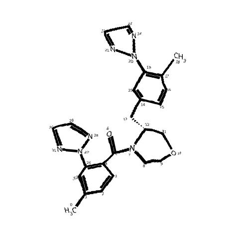 Cc1ccc(C(=O)N2CCOC[C@H]2Cc2ccc(C)c(-n3nccn3)c2)c(-n2nccn2)c1